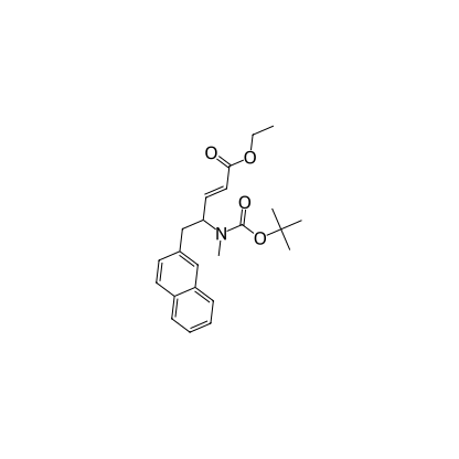 CCOC(=O)C=CC(Cc1ccc2ccccc2c1)N(C)C(=O)OC(C)(C)C